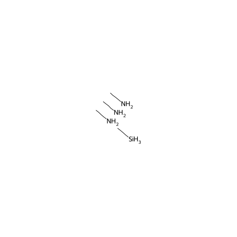 CN.CN.CN.C[SiH3]